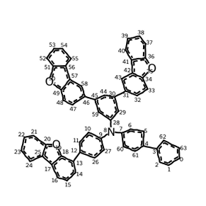 c1ccc(-c2ccc(N(c3ccc(-c4cccc5c4oc4ccccc45)cc3)c3cc(-c4ccc5oc6ccccc6c5c4)cc(-c4ccc5oc6ccccc6c5c4)c3)cc2)cc1